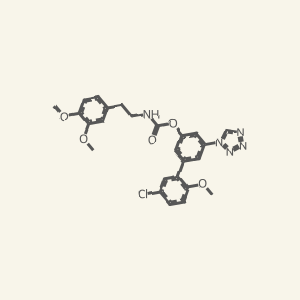 COc1ccc(CCNC(=O)Oc2cc(-c3cc(Cl)ccc3OC)cc(-n3cnnn3)c2)cc1OC